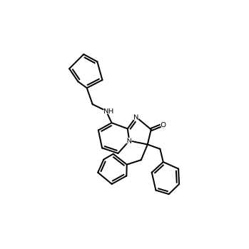 O=C1N=C2C(NCc3ccccc3)=CC=CN2C1(Cc1ccccc1)Cc1ccccc1